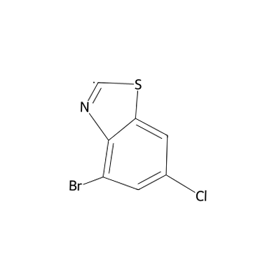 Clc1cc(Br)c2n[c]sc2c1